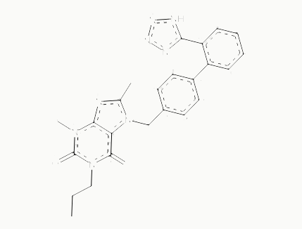 CCCn1c(=O)c2c(nc(C)n2Cc2ccc(-c3ccccc3-c3nnn[nH]3)cc2)n(C)c1=O